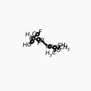 CCc1cc(N2CCN(CCCCCOc3ccc(C4c5ccc(O)cc5OCC4c4ccc(F)cc4C)cc3F)CC2)ccc1C(=O)C(C)C